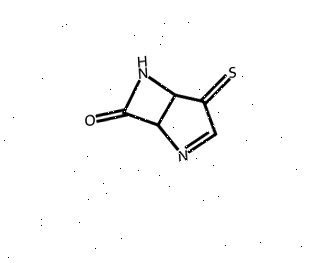 O=C1NC2C(=S)C=NC12